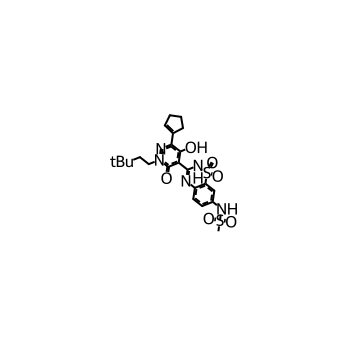 CC(C)(C)CCn1nc(C2=CCCC2)c(O)c(C2=Nc3ccc(NS(C)(=O)=O)cc3S(=O)(=O)N2)c1=O